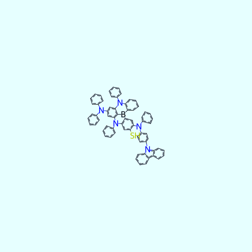 Sc1cc2c(cc1N(c1ccccc1)c1ccc(-n3c4ccccc4c4ccccc43)cc1)B1c3ccccc3N(c3ccccc3)c3cc(N(c4ccccc4)c4ccccc4)cc(c31)N2c1ccccc1